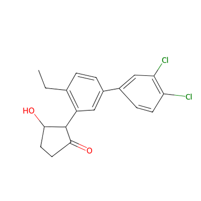 CCc1ccc(-c2ccc(Cl)c(Cl)c2)cc1C1C(=O)CCC1O